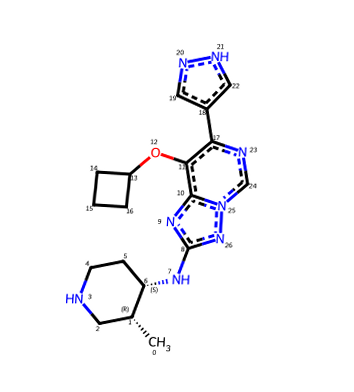 C[C@@H]1CNCC[C@@H]1Nc1nc2c(OC3CCC3)c(-c3cn[nH]c3)ncn2n1